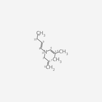 C=CCN(C=C(C)C)/C=C/CC